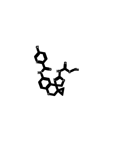 CC(C)(C)OC(=O)NC1=NC2(CO1)c1cc(NC(=O)c3ccc(Cl)cn3)ccc1OCC21CC1